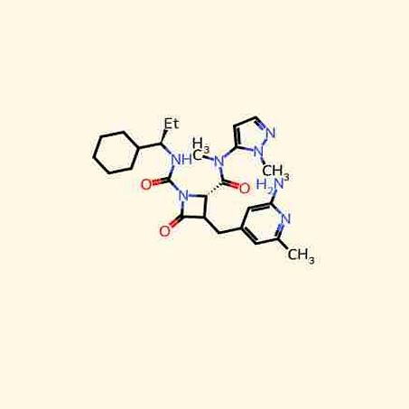 CC[C@@H](NC(=O)N1C(=O)C(Cc2cc(C)nc(N)c2)[C@H]1C(=O)N(C)c1ccnn1C)C1CCCCC1